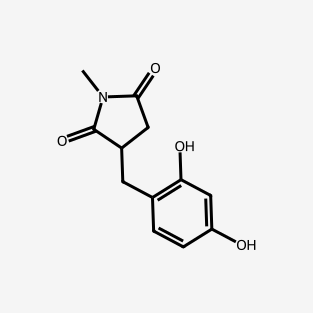 CN1C(=O)CC(Cc2ccc(O)cc2O)C1=O